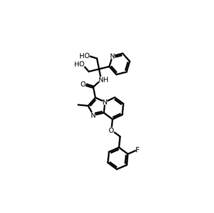 Cc1nc2c(OCc3ccccc3F)cccn2c1C(=O)NC(CO)(CO)c1ccccn1